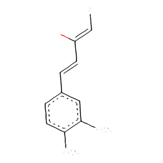 COc1ccc(C=CC(O)=CC(C)=O)cc1OC